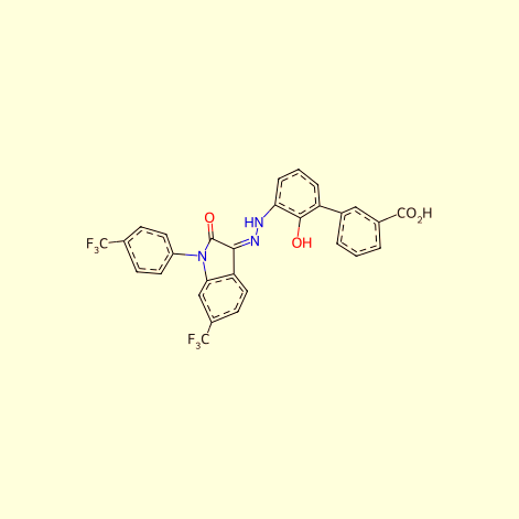 O=C(O)c1cccc(-c2cccc(NN=C3C(=O)N(c4ccc(C(F)(F)F)cc4)c4cc(C(F)(F)F)ccc43)c2O)c1